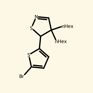 CCCCCCC1(CCCCCC)C=NSC1c1ccc(Br)s1